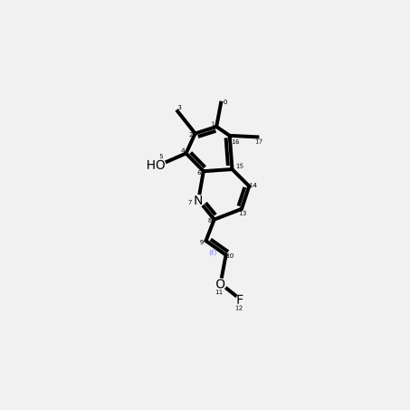 Cc1c(C)c(O)c2nc(/C=C/OF)ccc2c1C